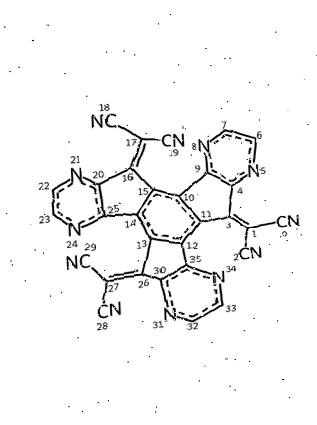 N#CC(C#N)=C1c2nccnc2-c2c1c1c(c3c2C(=C(C#N)C#N)c2nccnc2-3)C(=C(C#N)C#N)c2nccnc2-1